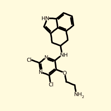 NCCOc1c(Cl)nc(Cl)nc1NC1Cc2cccc3[nH]cc(c23)C1